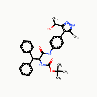 Cc1[nH]nc(C(C)O)c1-c1ccc(NC(=O)C(NC(=O)OC(C)(C)C)C(c2ccccc2)c2ccccc2)cc1